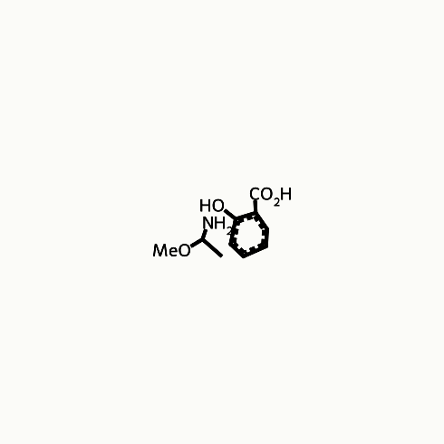 COC(C)N.O=C(O)c1ccccc1O